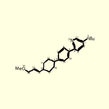 CCCCc1ccc(-c2ccc(C3CCC(C=CCOC)CC3)cc2)nc1